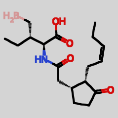 BC[C@@H](CC)[C@H](NC(=O)C[C@H]1CCC(=O)[C@H]1C/C=C\CC)C(=O)O